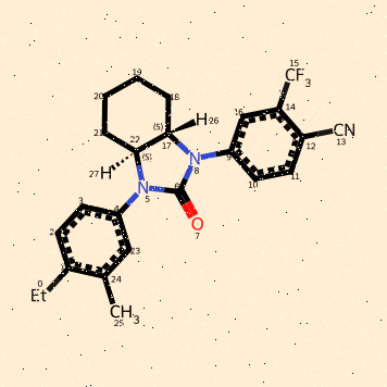 CCc1ccc(N2C(=O)N(c3ccc(C#N)c(C(F)(F)F)c3)[C@H]3CCCC[C@@H]32)cc1C